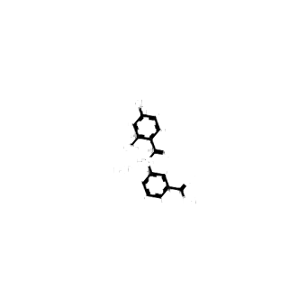 Cl.O=C(O)c1cccc(NC(=O)c2ccc(Cl)cc2Cl)c1